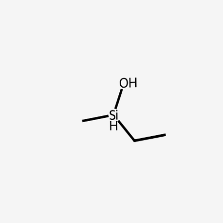 CC[SiH](C)O